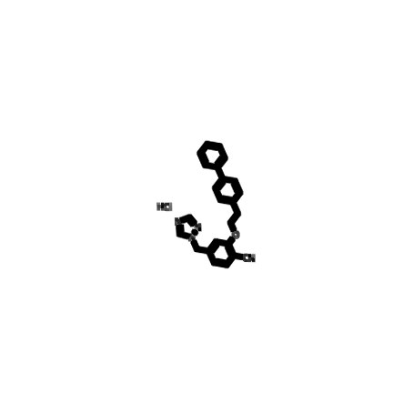 Cl.N#Cc1ccc(Cn2cncn2)cc1OCCc1ccc(-c2ccccc2)cc1